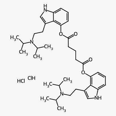 CC(C)N(CCc1c[nH]c2cccc(OC(=O)CCCC(=O)Oc3cccc4[nH]cc(CCN(C(C)C)C(C)C)c34)c12)C(C)C.Cl.Cl